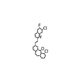 O=c1c2cc(C=Cc3ccc4cc(F)c(Cl)cc4n3)ccc2ccc2cccc(Cl)c12